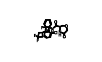 O=C1COCC(C(=O)N[C@]2(c3ccccc3Cl)C=CC=CC2(F)NC2CC(F)(F)C2)N1